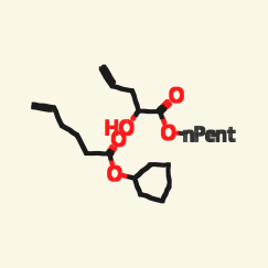 C=CCC(O)C(=O)OCCCCC.C=CCCCC(=O)OC1CCCCC1